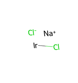 [Cl-].[Cl][Ir].[Na+]